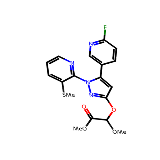 COC(=O)C(OC)Oc1cc(-c2ccc(F)nc2)n(-c2ncccc2SC)n1